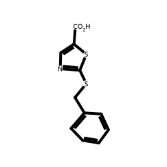 O=C(O)c1cnc(SCc2ccccc2)s1